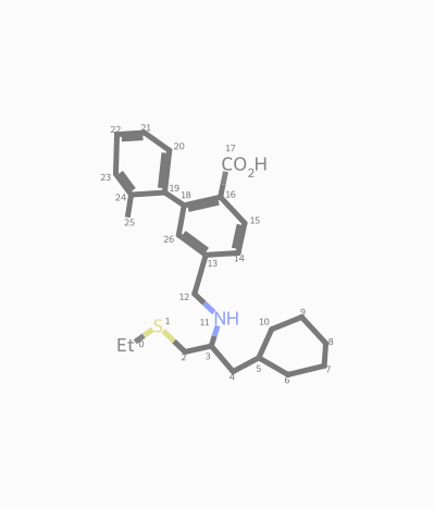 CCSCC(CC1CCCCC1)NCc1ccc(C(=O)O)c(-c2ccccc2C)c1